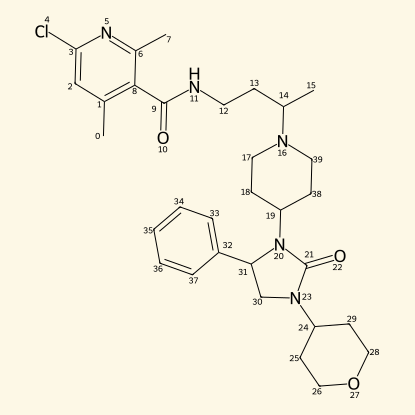 Cc1cc(Cl)nc(C)c1C(=O)NCCC(C)N1CCC(N2C(=O)N(C3CCOCC3)CC2c2ccccc2)CC1